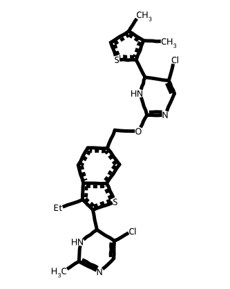 CCc1c(C2NC(C)=NC=C2Cl)sc2cc(COC3=NC=C(Cl)C(c4scc(C)c4C)N3)ccc12